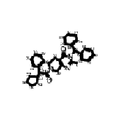 Cc1nc2c(c(=O)n1C(c1ccccc1)c1ccccc1)CCN(C(=O)C(c1ccccc1)C1CCCC1)C2